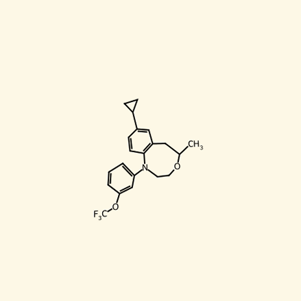 CC1Cc2cc(C3CC3)ccc2N(c2cccc(OC(F)(F)F)c2)CCO1